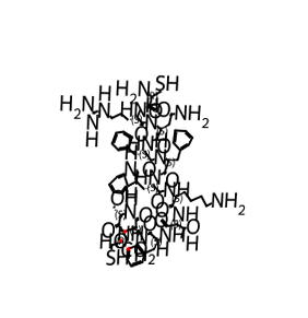 CC(O)[C@H](NC(=O)[C@H](Cc1ccccc1)NC(=O)[C@@H](NC(=O)[C@H](CCCCN)NC(=O)[C@H](Cc1c[nH]c2ccccc12)NC(=O)[C@H](Cc1ccccc1)NC(=O)[C@H](Cc1ccccc1)NC(=O)[C@H](CC(N)=O)NC(=O)[C@H](CCCNC(=N)N)NC(=O)[C@@H](N)CS)C(C)O)C(=O)N[C@@H](CO)C(=O)N[C@@H](CS)C(=O)O